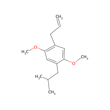 C=CCc1cc(OC)c(CC(C)C)cc1OC